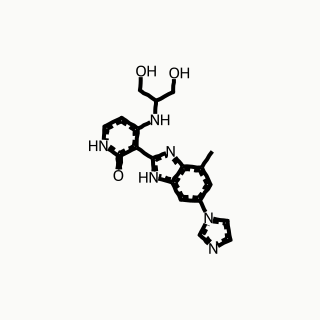 Cc1cc(-n2ccnc2)cc2[nH]c(-c3c(NC(CO)CO)cc[nH]c3=O)nc12